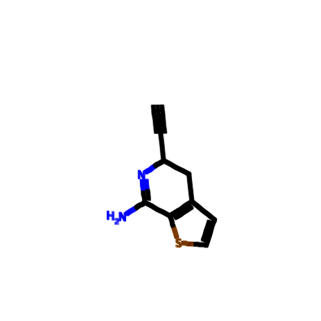 C#CC1Cc2ccsc2C(N)=N1